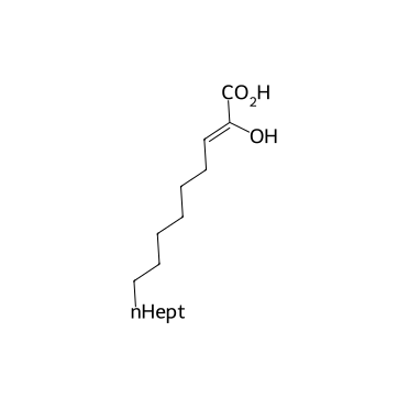 CCCCCCCCCCCCCC=C(O)C(=O)O